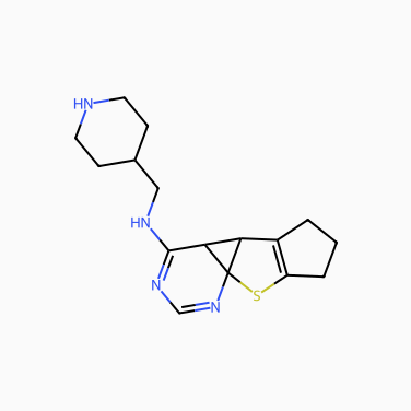 C1=NC23SC4=C(CCC4)C2C3C(NCC2CCNCC2)=N1